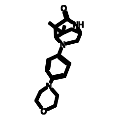 CC1(C)CC2CN(c3ccc(N4CCOCC4)cc3)C1CC(=O)N2